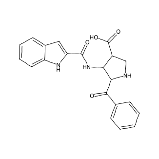 O=C(NC1C(C(=O)O)CNC1C(=O)c1ccccc1)c1cc2ccccc2[nH]1